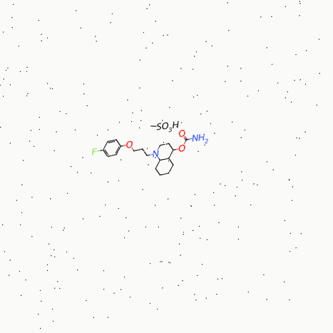 CS(=O)(=O)O.NC(=O)OC1CCN(CCCOc2ccc(F)cc2)C2CCCCC12